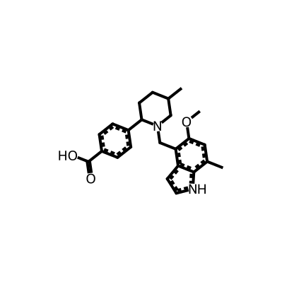 COc1cc(C)c2[nH]ccc2c1CN1CC(C)CCC1c1ccc(C(=O)O)cc1